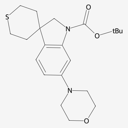 CC(C)(C)OC(=O)N1CC2(CCSCC2)c2ccc(N3CCOCC3)cc21